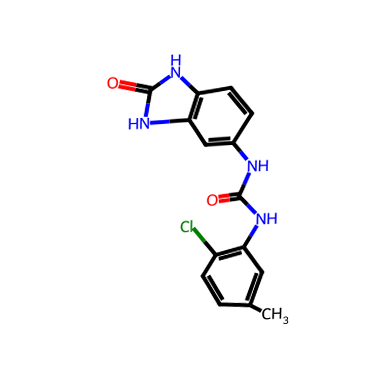 Cc1ccc(Cl)c(NC(=O)Nc2ccc3[nH]c(=O)[nH]c3c2)c1